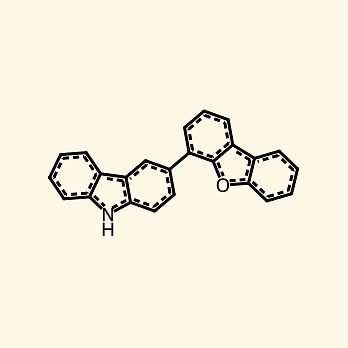 c1ccc2c(c1)[nH]c1ccc(-c3cccc4c3oc3ccccc34)cc12